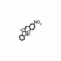 CC1=Cc2cc([N+](=O)[O-])ccc2OC12C(C)c1ccccc1N2C